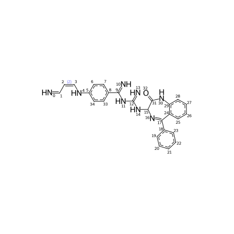 N=C/C=C\Nc1ccc(C(=N)NC(=N)NC2N=C(c3ccccc3)c3ccccc3NC2=O)cc1